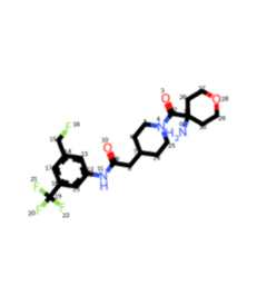 NC1(C(=O)N2CCC(CC(=O)Nc3cc(CF)cc(C(F)(F)F)c3)CC2)CCOCC1